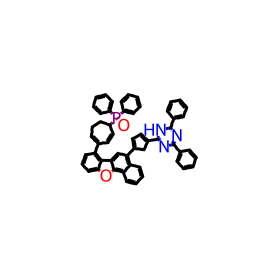 O=P(c1ccccc1)(c1ccccc1)C1C=CC(c2cccc3oc4c5ccccc5c(C5=CC=C(C6=NC(c7ccccc7)=NC(c7ccccc7)N6)C5)cc4c23)=CCC1